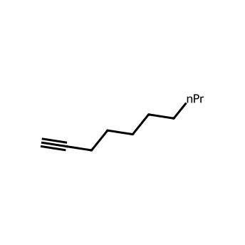 C#CCCCCCCC[CH2]